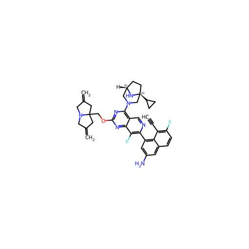 C#Cc1c(F)ccc2cc(N)cc(-c3ncc4c(N5C[C@@H]6CC[C@](C7CC7)(C5)N6)nc(OCC56CC(=C)CN5CC(=C)C6)nc4c3F)c12